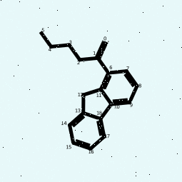 [CH]=C(CCCC)c1cccc2c1Cc1ccccc1-2